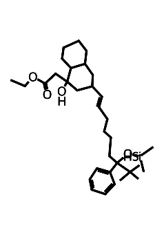 CCOC(=O)CC1(O)CC(C=CCCCCC(O[SiH](C)C)(c2ccccc2)C(C)(C)C)CC2CCCCC21